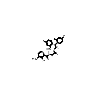 COc1cc(F)ccc1[C@H](c1ccc(F)cc1C)[C@H](C)OC(=O)[C@H](C)NC(=O)c1nccc(OC)c1O